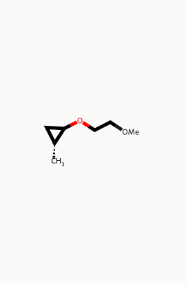 COCCOC1C[C@H]1C